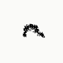 COc1nc(-c2ccnc(-c3cccc(NC(=O)c4nc5c(n4C)CCN(CCc4cnoc4)C5)c3Cl)c2Cl)ccc1CNC[C@H]1CCC(=O)N1